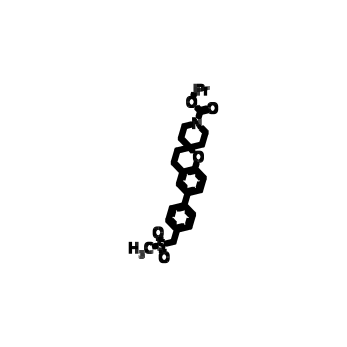 CC(C)OC(=O)N1CCC2(CCc3cc(-c4ccc(CS(C)(=O)=O)cc4)ccc3O2)CC1